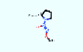 CCCCO/N=[N+](\[O-])N1CCC[C@H]1C(=O)O